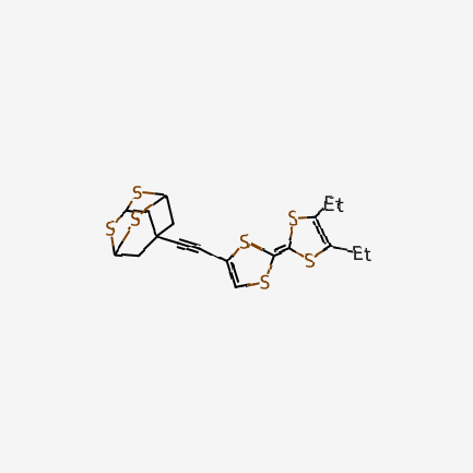 CCC1=C(CC)SC(=C2SC=C(C#CC34CC5SC(C3)SC(C4)S5)S2)S1